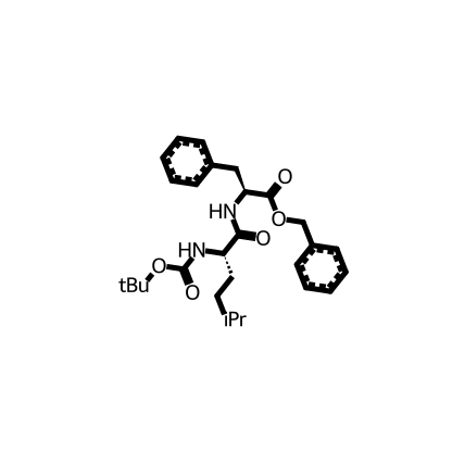 CC(C)CC[C@H](NC(=O)OC(C)(C)C)C(=O)N[C@@H](Cc1ccccc1)C(=O)OCc1ccccc1